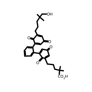 CC(C)(CO)CCCC1=CC(=O)C=C(c2ccccc2C2=CC(=O)C=C(CCCC(C)(C)C(=O)O)C2=O)C1=O